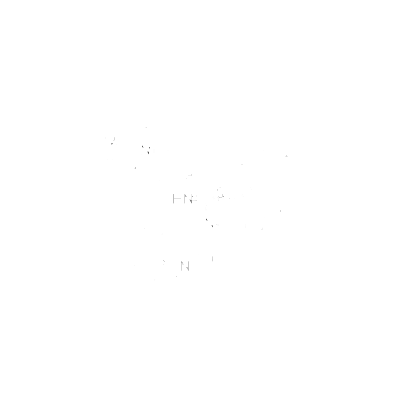 NC(=O)C(Cc1ccccc1)N(Cc1ccc2ccccc2c1)C(=S)NCCCN1CCOCC1